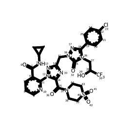 O=C(NC1CC1)c1cccnc1-n1nc(Cn2nc(-c3ccc(Cl)cc3)n(CC(O)C(F)(F)F)c2=O)nc1C(=O)N1CCS(=O)(=O)CC1